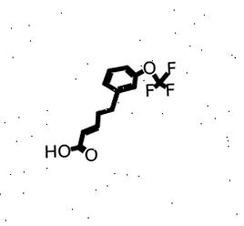 O=C(O)C=CCCc1cccc(OC(F)(F)F)c1